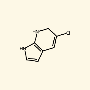 ClC1=Cc2cc[nH]c2NC1